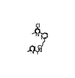 CC(=NOCCCc1cccc(-c2cc(Cl)cc(C)n2)n1)c1cccc(C)n1